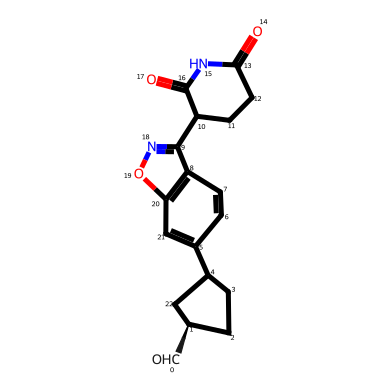 O=C[C@@H]1CCC(c2ccc3c(C4CCC(=O)NC4=O)noc3c2)C1